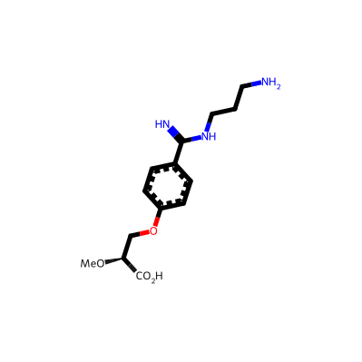 CO[C@@H](COc1ccc(C(=N)NCCCN)cc1)C(=O)O